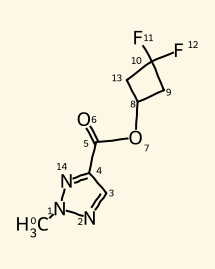 Cn1ncc(C(=O)OC2CC(F)(F)C2)n1